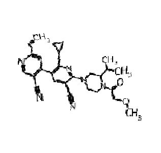 C=Cc1cc(-c2cc(C#N)c(N3CCN(C(=O)COC)C(C(C)C)C3)nc2C2CC2)c(C#N)cn1